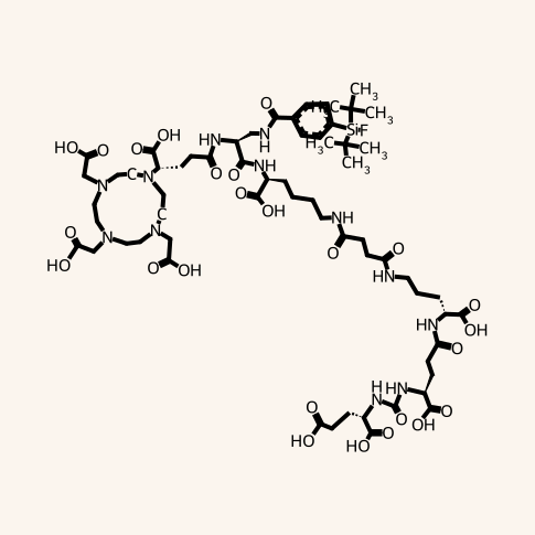 CC(C)(C)[Si](F)(c1ccc(C(=O)NC[C@H](NC(=O)CC[C@@H](C(=O)O)N2CCN(CC(=O)O)CCN(CC(=O)O)CCN(CC(=O)O)CC2)C(=O)N[C@@H](CCCCNC(=O)CCC(=O)NCCC[C@@H](NC(=O)CC[C@H](NC(=O)N[C@@H](CCC(=O)O)C(=O)O)C(=O)O)C(=O)O)C(=O)O)cc1)C(C)(C)C